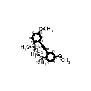 COc1ccc([SiH](C)C)c(C#Cc2cc(OC)ccc2[SiH](C)C)c1